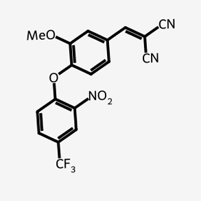 COc1cc(C=C(C#N)C#N)ccc1Oc1ccc(C(F)(F)F)cc1[N+](=O)[O-]